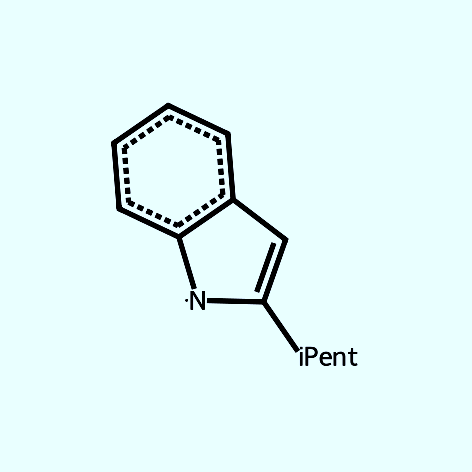 CCCC(C)C1=Cc2ccccc2[N]1